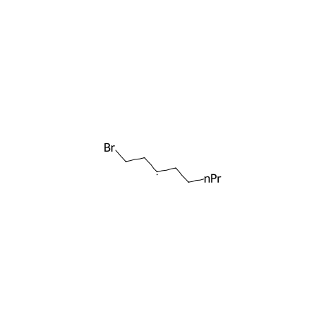 CCCCC[CH]CCBr